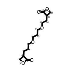 O=C1OCC1CCCOCCCOCCC1COC1=O